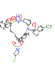 C[C@@H]1[C@@H](C)CCC[C@H]([C@H]2OC[C@@H](N3CC(F)C3)CO2)[C@@H]2CC[C@H]2CN2C[C@@]3(CCCc4cc(Cl)ccc43)COc3ccc(cc32)C(=O)NS1(=O)=O